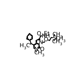 CCNC(=O)c1cc2c(C(C)c3ccccc3)cn(C)c(=O)c2n1COCC[Si](C)(C)C